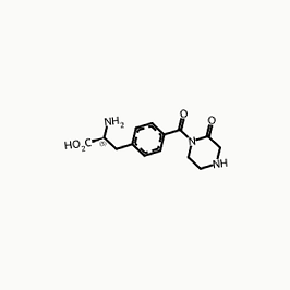 N[C@@H](Cc1ccc(C(=O)N2CCNCC2=O)cc1)C(=O)O